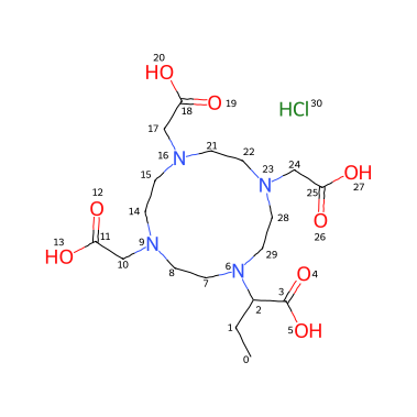 CCC(C(=O)O)N1CCN(CC(=O)O)CCN(CC(=O)O)CCN(CC(=O)O)CC1.Cl